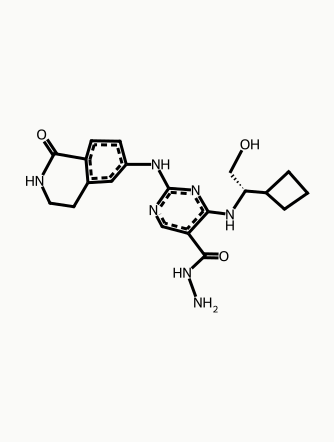 NNC(=O)c1cnc(Nc2ccc3c(c2)CCNC3=O)nc1N[C@H](CO)C1CCC1